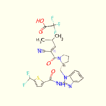 CC(C)/C=C(\C#N)C(=O)N1CCC[C@@H]1Cn1c(NC(=O)c2ccc(C(F)F)s2)nc2ccccc21.O=C(O)C(F)(F)F